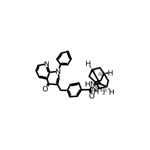 N[C@]12C[C@@H]3C[C@H](C1)[C@H](NC(=O)c1ccc(Cc4cn(-c5ccccc5)c5ncccc5c4=O)cc1)[C@@H](C3)C2